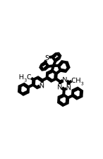 Cc1nc(-c2ccccc2-c2ccccc2)nc(-c2cc(-c3cc(C)c(-c4ccccc4)cn3)cc3c2-c2ccccc2C32c3ccccc3Sc3ccccc32)n1